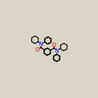 O=C(c1cccc(C(=O)N(c2ccccc2)C2CCCCC2)c1)N(c1ccccc1)C1CCCCC1